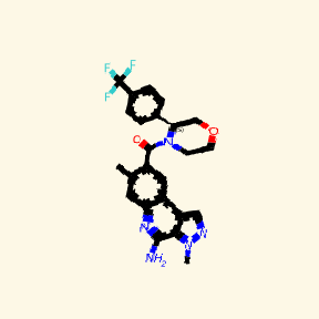 Cc1cc2nc(N)c3c(cnn3C)c2cc1C(=O)N1CCOC[C@@H]1c1ccc(C(F)(F)F)cc1